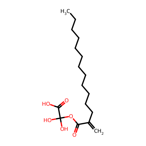 C=C(CCCCCCCCCCCC)C(=O)OC(O)(O)C(=O)O